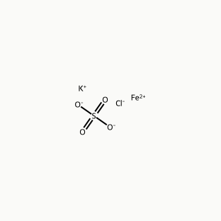 O=S(=O)([O-])[O-].[Cl-].[Fe+2].[K+]